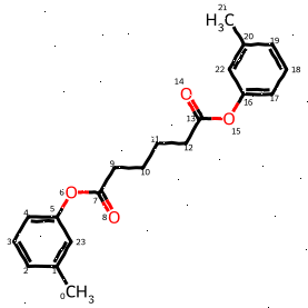 Cc1cccc(OC(=O)CCCCC(=O)Oc2cccc(C)c2)c1